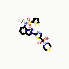 CN(c1cccc2cc(C3=NCC(C(O)(O)N4CCSCC4)S3)[nH]c12)S(=O)(=O)c1cccs1